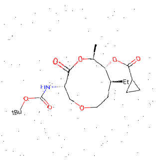 CC[C@H]1CCOC[C@H](NC(=O)OC(C)(C)C)C(=O)O[C@@H](C)[C@@H]1OC(=O)C1CC1